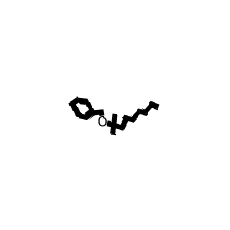 CCCCC[C]=CC(C)(C)OCc1ccccc1